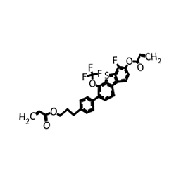 C=CC(=O)OCCCc1ccc(-c2ccc3c(sc4c(F)c(OC(=O)C=C)ccc43)c2OC(F)(F)F)cc1